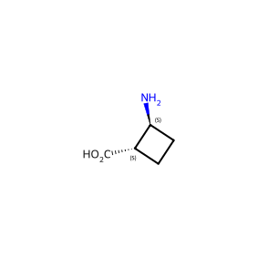 N[C@H]1CC[C@@H]1C(=O)O